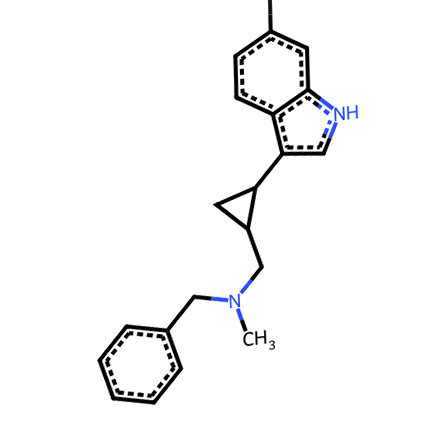 CN(Cc1ccccc1)CC1CC1c1c[nH]c2cc(C#N)ccc12